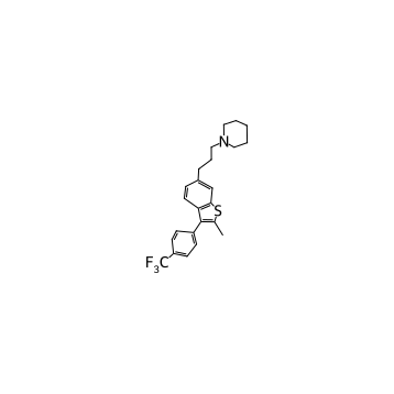 Cc1sc2cc(CCCN3CCCCC3)ccc2c1-c1ccc(C(F)(F)F)cc1